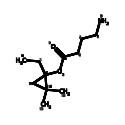 CCC1(OC(=O)CCCN)CC1(C)C